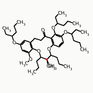 CCCC(CC)Oc1cc(CCC(=O)c2c(OC(CC)CCC)ccc(OC(CC)CCC)c2OC(CC)CCC)c(OC(CC)CCC)c(OC)c1